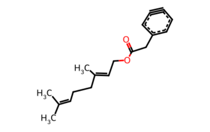 CC(C)=CCC/C(C)=C/COC(=O)Cc1cc#ccc1